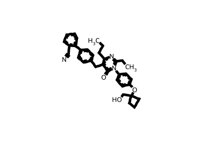 CCCc1nc(CC)n(-c2ccc(OC3(CO)CCC3)cc2)c(=O)c1Cc1ccc(-c2ccccc2C#N)cc1